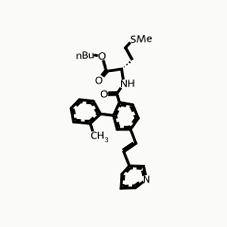 CCCCOC(=O)[C@H](CCSC)NC(=O)c1ccc(C=Cc2cccnc2)cc1-c1ccccc1C